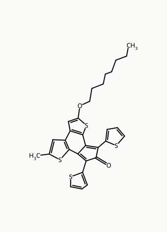 CCCCCCCCOc1cc2c(s1)c1c(c3sc(C)cc32)=C(c2cccs2)C(=O)C=1c1cccs1